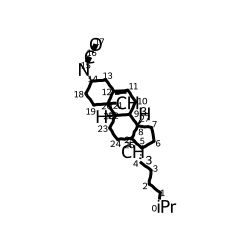 CC(C)CCCC[C@H]1CC[C@H]2C3CC=C4C[C@@H](N=C=O)CCC4(C)[C@H]3CC[C@]12C